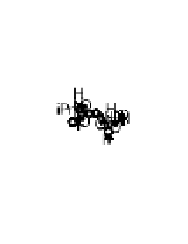 Cc1nonc1C(=O)N[C@H](C(=O)Nc1ccc2c(c1)CC(C(=O)Nc1ccccc1F)(N1C[C@@H](C(C)C)NC1=O)C2)C1CCC(F)(F)CC1